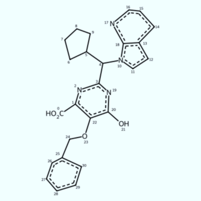 O=C(O)c1nc(C(C2CCCC2)n2ccc3cccnc32)nc(O)c1OCc1ccccc1